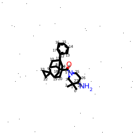 CC1(C)CN(C(=O)C23CC4CC(c5ccccc5)(CC(C2)C42CC2)C3)CC[C@@H]1N